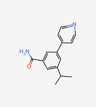 CC(C)c1cc(C(N)=O)cc(-c2ccncc2)c1